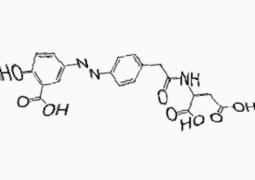 O=C(O)CC(NC(=O)Cc1ccc(/N=N/c2ccc(O)c(C(=O)O)c2)cc1)C(=O)O